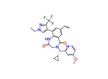 C=Cc1cc2c(c(-c3cn(CC)nc3C(F)(F)F)c1)NC(=O)CN([C@H](c1cc(OC)ccn1)C1CC1)C2=O